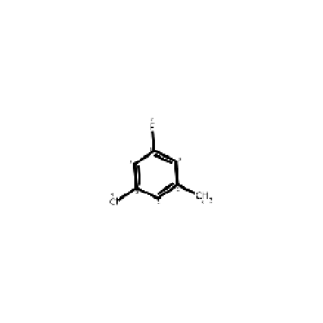 Cc1[c]c(Cl)cc(F)c1